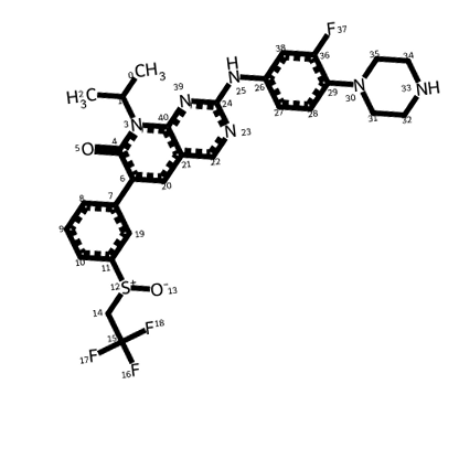 CC(C)n1c(=O)c(-c2cccc([S+]([O-])CC(F)(F)F)c2)cc2cnc(Nc3ccc(N4CCNCC4)c(F)c3)nc21